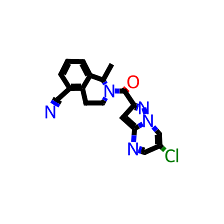 CC1c2cccc(C#N)c2CCN1C(=O)c1cc2ncc(Cl)cn2n1